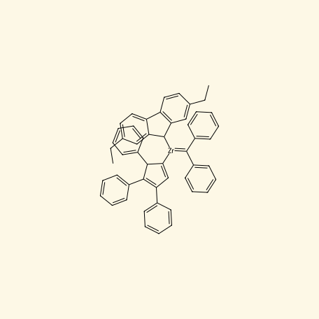 CCc1ccc2c(c1)[CH]([Zr]([C]1=CC(c3ccccc3)=C(c3ccccc3)C1c1ccccc1)=[C](c1ccccc1)c1ccccc1)c1cc(CC)ccc1-2